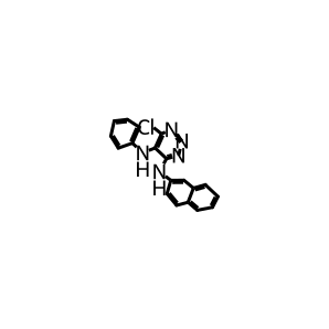 Clc1nnnc(Nc2ccc3ccccc3c2)c1Nc1ccccc1